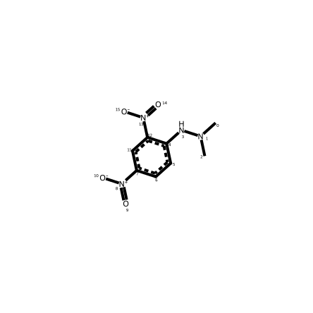 CN(C)Nc1ccc([N+](=O)[O-])cc1[N+](=O)[O-]